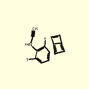 C#CNc1c(F)cccc1F.c1cc2ccc1-2